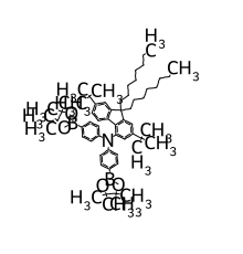 CCCCCCCCC1(CCCCCCCC)c2cc(C(C)(C)C)ccc2-c2c(N(c3ccc(B4OC(C)(C)C(C)(C)O4)cc3)c3ccc(B4OC(C)(C)C(C)(C)O4)cc3)cc(C(C)(C)C)cc21